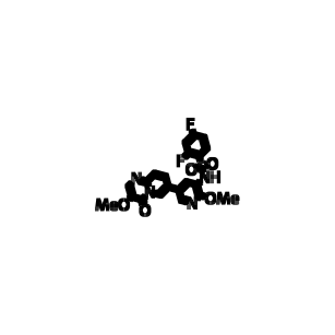 COc1ncc(-c2ccc3ncc(OC)c(=O)n3c2)cc1NS(=O)(=O)c1ccc(F)cc1F